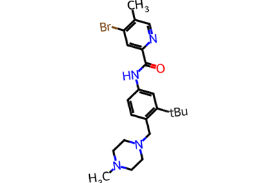 Cc1cnc(C(=O)Nc2ccc(CN3CCN(C)CC3)c(C(C)(C)C)c2)cc1Br